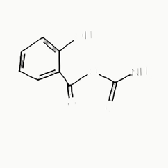 NC(=O)OC(=O)c1ccccc1O